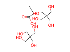 CCC(=O)O.OCC(CO)(CO)CO.OCC(CO)(CO)CO